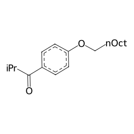 CCCCCCCCCOc1ccc(C(=O)C(C)C)cc1